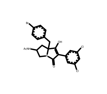 CC(=O)NC1CN2C(=O)C(c3cc(Cl)cc(Cl)c3)=C(O)C2(Cc2ccc(Br)cc2)C1